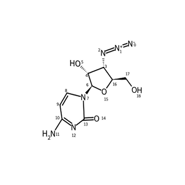 [N-]=[N+]=N[C@H]1[C@@H](O)[C@H](n2ccc(N)nc2=O)O[C@@H]1CO